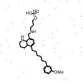 COc1cccc(CCCCCCC2=CC=C(CNCCCO[PH](=O)O)C3NCCCC23)c1